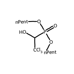 CCCCCOP(=O)(OCCCCC)C(O)C(Cl)(Cl)Cl